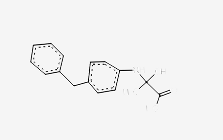 CC(C)(Nc1ccc(Cc2ccccc2)cc1)C(=O)O